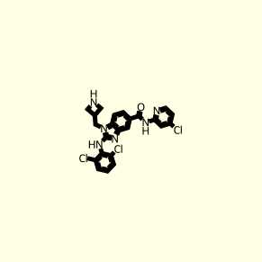 O=C(Nc1cc(Cl)ccn1)c1ccc2c(c1)nc(Nc1c(Cl)cccc1Cl)n2CC1CNC1